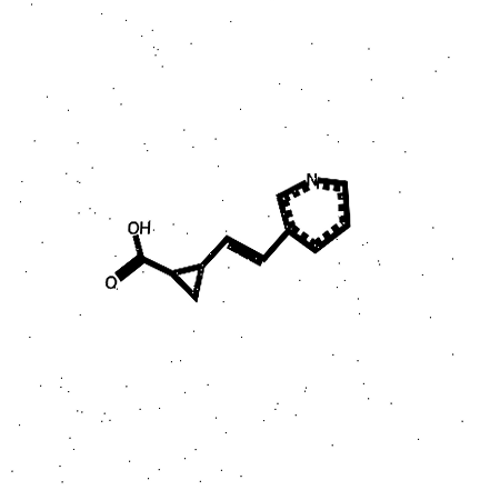 O=C(O)C1CC1/C=C/c1cccnc1